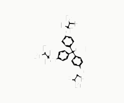 CC(c1ccc(OC(F)(F)C(F)Br)cc1)(c1ccc(OC(F)(F)C(F)Br)cc1)c1ccc(OC(F)(F)C(F)Br)cc1